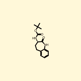 CC(C)(C)OC(=O)N[C@@H]1CCc2ccccc2NC1=O